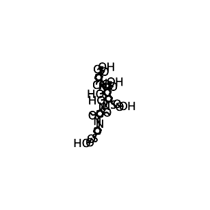 COc1cc(N=Nc2c(SOOO)cc3cc(S(=O)(=O)O)c(N=Nc4cc(S(=O)(=O)O)ccc4Cl)c(O)c3c2O)c(OC)cc1N=Nc1ccc(SOOO)cc1